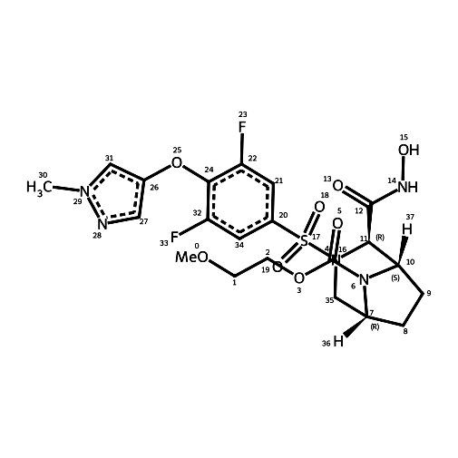 COCCOC(=O)N1[C@@H]2CC[C@H]1[C@H](C(=O)NO)N(S(=O)(=O)c1cc(F)c(Oc3cnn(C)c3)c(F)c1)C2